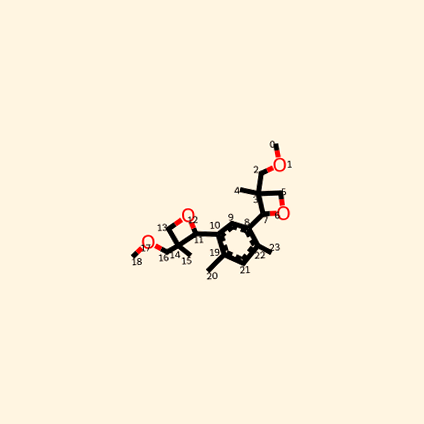 COCC1(C)COC1c1cc(C2OCC2(C)COC)c(C)cc1C